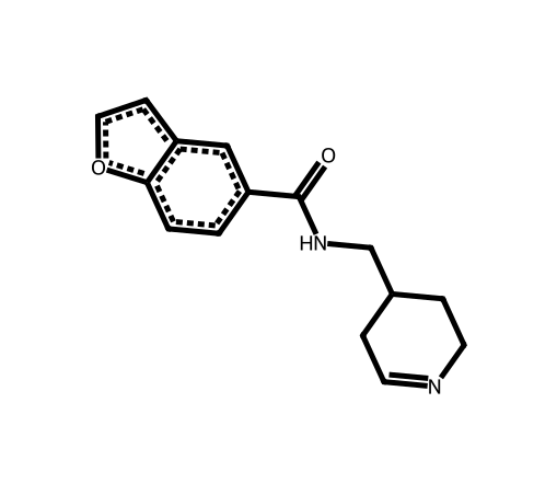 O=C(NCC1CC=NCC1)c1ccc2occc2c1